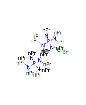 CCCN(CCC)[P+](N(CCC)CCC)(N(CCC)CCC)N(CCC)CCC.CCCN(CCC)[P+](N(CCC)CCC)(N(CCC)CCC)N(CCC)CCC.[Br-].[Cl-]